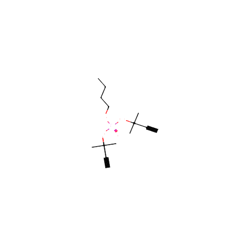 C#CC(C)(C)OP(=O)(OCCCC)OC(C)(C)C#C